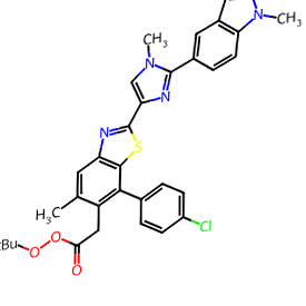 Cc1cc2nc(-c3cn(C)c(-c4ccc5c(cnn5C)c4)n3)sc2c(-c2ccc(Cl)cc2)c1CC(=O)OOC(C)(C)C